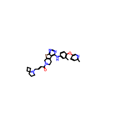 Cc1ccc(Oc2ccc(Nc3ncnc4sc5c(c34)CCN(C(=O)/C=C/CN3CCCC34CCC4)C5)cc2C)cn1